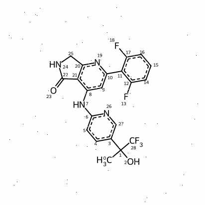 CC(O)(c1ccc(Nc2cc(-c3c(F)cccc3F)nc3c2C(=O)NC3)nc1)C(F)(F)F